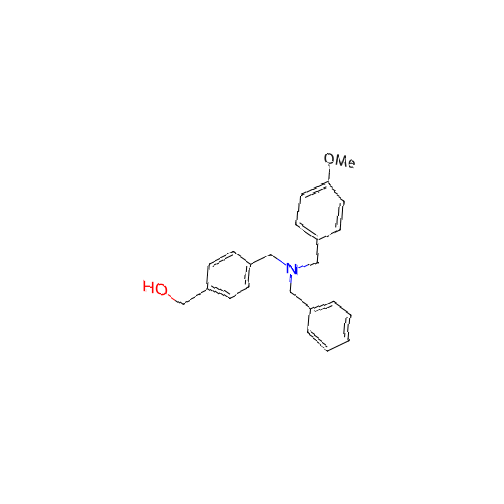 COc1ccc(CN(Cc2ccccc2)Cc2ccc(CO)cc2)cc1